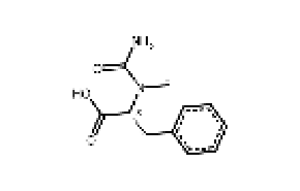 NC(=O)N(F)[C@H](Cc1ccccc1)C(=O)O